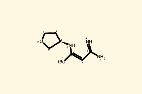 CC(C)(C)/C(=C/C(=N)N)N[C@@H]1CCOC1